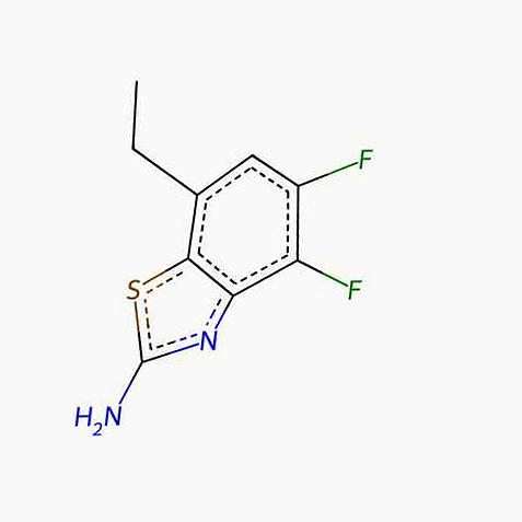 CCc1cc(F)c(F)c2nc(N)sc12